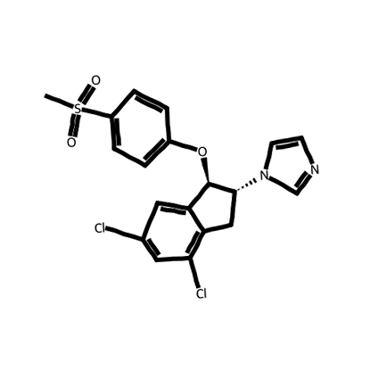 CS(=O)(=O)c1ccc(O[C@@H]2c3cc(Cl)cc(Cl)c3C[C@H]2n2ccnc2)cc1